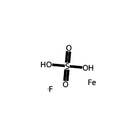 O=S(=O)(O)O.[F].[Fe]